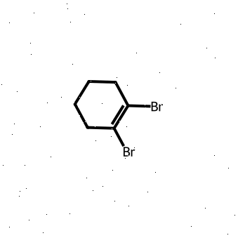 BrC1=C(Br)CCCC1